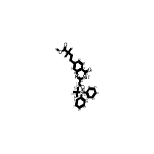 COC(=O)C(C)(C)/C=C/c1ccc2c(=O)[nH]c([C@@H](C)O[Si](c3ccccc3)(c3ccccc3)C(C)(C)C)nc2c1